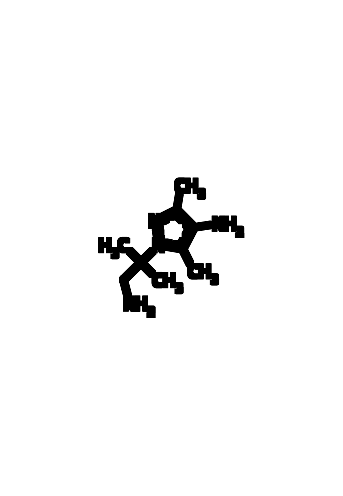 Cc1nn(C(C)(C)CN)c(C)c1N